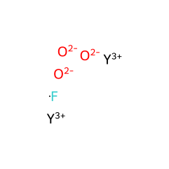 [F].[O-2].[O-2].[O-2].[Y+3].[Y+3]